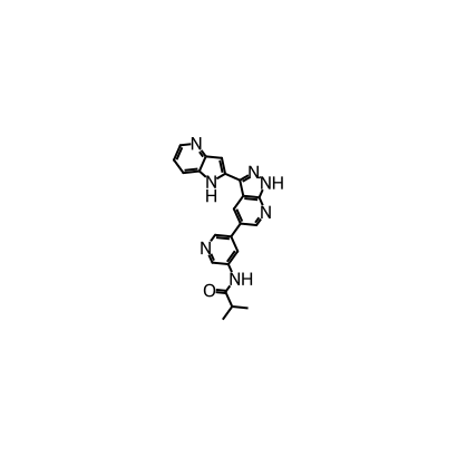 CC(C)C(=O)Nc1cncc(-c2cnc3[nH]nc(-c4cc5ncccc5[nH]4)c3c2)c1